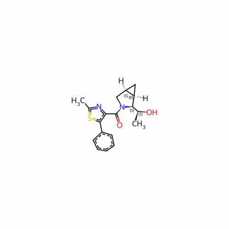 Cc1nc(C(=O)N2C[C@H]3C[C@H]3[C@H]2[C@H](C)O)c(-c2ccccc2)s1